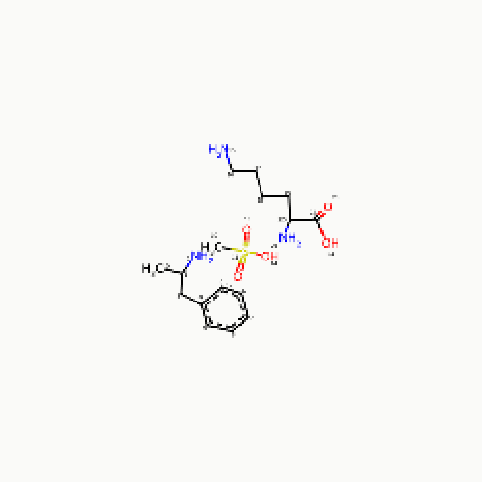 CC(N)Cc1ccccc1.CS(=O)(=O)O.NCCCCC(N)C(=O)O